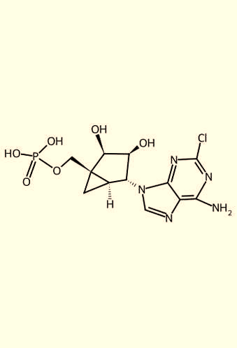 Nc1nc(Cl)nc2c1ncn2[C@H]1[C@H](O)[C@H](O)[C@@]2(COP(=O)(O)O)C[C@H]12